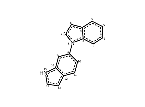 [c]1ccc2c(c1)cnn2-c1ccc2cc[nH]c2c1